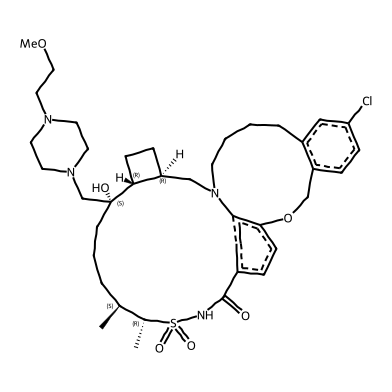 COCCN1CCN(C[C@]2(O)CCC[C@H](C)[C@@H](C)S(=O)(=O)NC(=O)c3ccc4c(c3)N(CCCCc3cc(Cl)ccc3CO4)C[C@@H]3CC[C@H]32)CC1